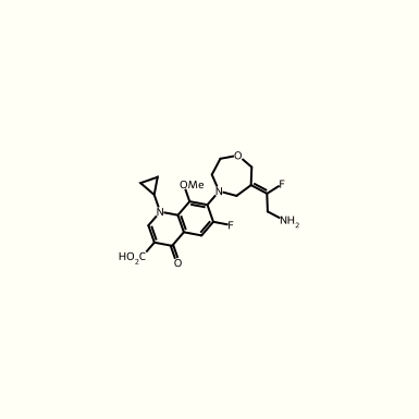 COc1c(N2CCOC/C(=C(\F)CN)C2)c(F)cc2c(=O)c(C(=O)O)cn(C3CC3)c12